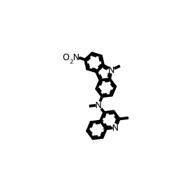 Cc1cc(N(C)c2ccc3c(c2)c2cc([N+](=O)[O-])ccc2n3C)c2ccccc2n1